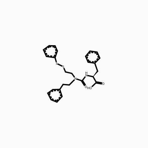 O=C(O)[C@H](Cc1ccccc1)NC(=O)N(CCSSc1ccccc1)CCc1ccccc1